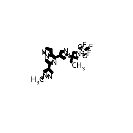 CCC1(n2cc(-c3nc(-c4cnn(C)c4)cn4nccc34)cn2)CN(S(=O)(=O)C(F)(F)F)C1